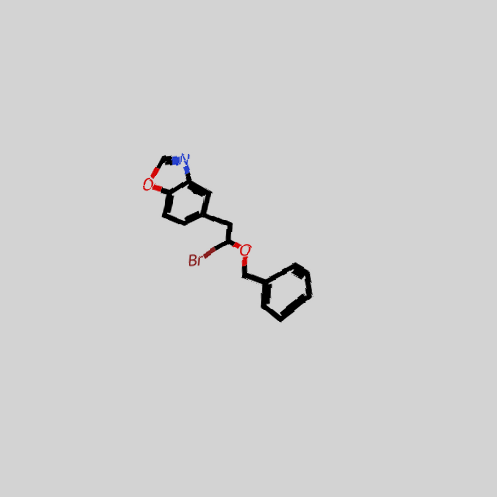 BrC(Cc1ccc2ocnc2c1)OCc1ccccc1